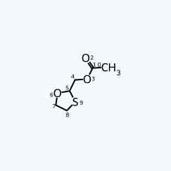 CC(=O)OCC1OCCS1